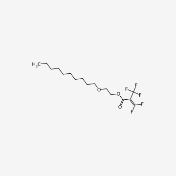 CCCCCCCCCCOCCOC(=O)C(=C(F)F)C(F)(F)F